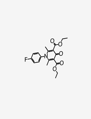 CCOC(=O)c1c(C)n(-c2ccc(F)cc2)c(C)c(C(=O)OCC)c1=O